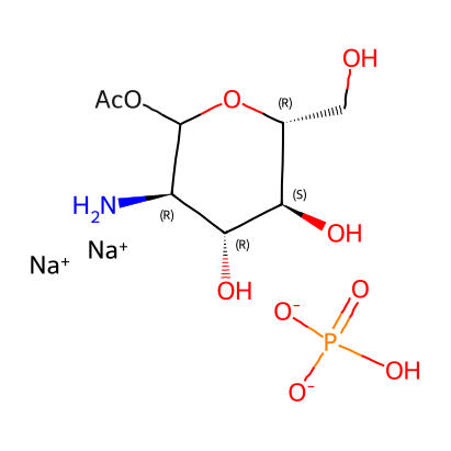 CC(=O)OC1O[C@H](CO)[C@@H](O)[C@H](O)[C@H]1N.O=P([O-])([O-])O.[Na+].[Na+]